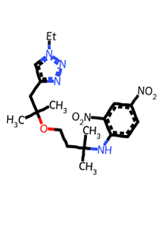 CCn1cc(CC(C)(C)OCCC(C)(C)Nc2ccc([N+](=O)[O-])cc2[N+](=O)[O-])nn1